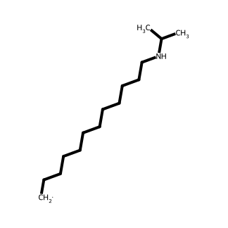 [CH2]CCCCCCCCCCCNC(C)C